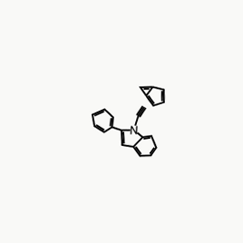 C#Cn1c(-c2ccccc2)cc2ccccc21.c1cc2cc-2c1